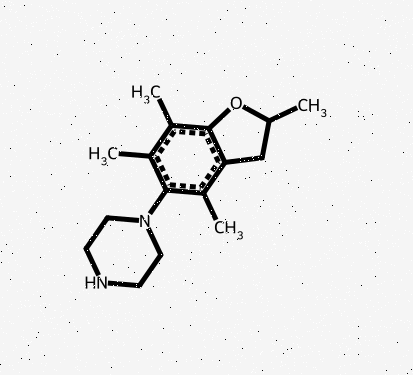 Cc1c(C)c(N2CCNCC2)c(C)c2c1OC(C)C2